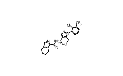 O=C(N[C@H]1COCc2c1cnn2-c1cccc(C(F)(F)F)c1Cl)c1ncn2c1CCCC2